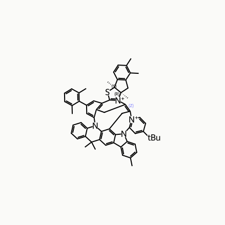 Cc1ccc2c(c1)c1cc3c4c5c1n2-c1cc(C(C)(C)C)cc[n+]1/C(=C1/Cc2c(cc(-c6c(C)cccc6C)cc2N4c2ccccc2C3(C)C)C2=[N+]1[C@]1(C)Cc3c(ccc(C)c3C)[C@]1(C)S2)C5